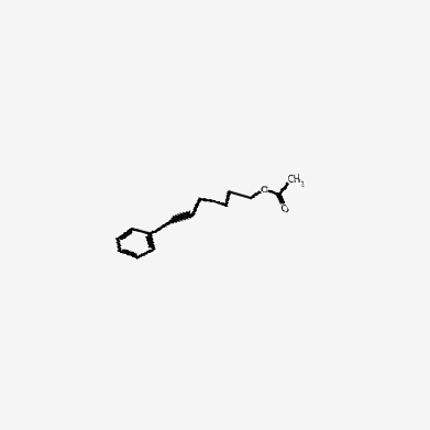 CC(=O)OCCCCC=Cc1ccccc1